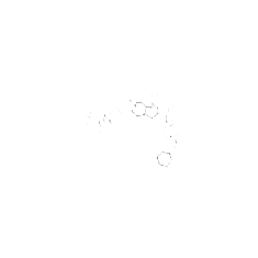 CC(C)(C)OC(=O)N1CC=C(c2cc3cc(C(=O)N4CCN(Cc5ccccc5)CC4)[nH]c3cn2)CC1